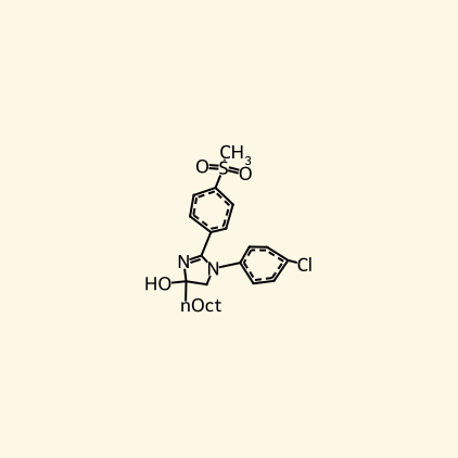 CCCCCCCCC1(O)CN(c2ccc(Cl)cc2)C(c2ccc(S(C)(=O)=O)cc2)=N1